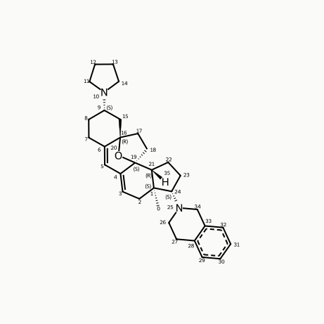 C[C@]12CC=C3C=C4CC[C@H](N5CCCC5)C[C@]45CC[C@]3(O5)[C@@H]1CC[C@@H]2N1CCc2ccccc2C1